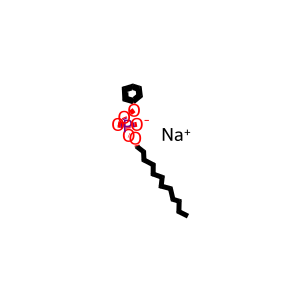 CCCCCCCCCCCCOOP(=O)([O-])OOc1ccccc1.[Na+]